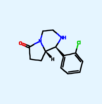 O=C1CC[C@H]2[C@H](c3ccccc3Cl)NCCN12